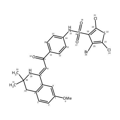 COc1ccc2c(c1)C(=CC(=O)c1ccc(NS(=O)(=O)c3c(Cl)sc(Cl)c3Br)cc1)NC(C)(C)C2